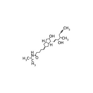 CC#CC[C@@H](C)[C@H](O)/C=C/[C@@H]1[C@H]2C/C(=C/CCCC(=O)NC(C)C)C[C@H]2C[C@H]1O